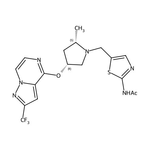 CC(=O)Nc1ncc(CN2C[C@H](Oc3nccn4nc(C(F)(F)F)cc34)C[C@@H]2C)s1